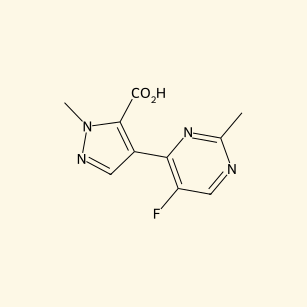 Cc1ncc(F)c(-c2cnn(C)c2C(=O)O)n1